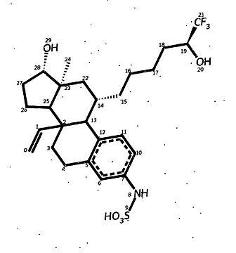 C=CC12CCc3cc(NS(=O)(=O)O)ccc3C1[C@@H](CCCC[C@H](O)C(F)(F)F)C[C@@]1(C)C2CC[C@@H]1O